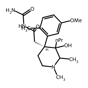 CCCC1(O)C(C)N(C)CC[C@@]1(CC(=O)NC(N)=O)c1cc(OC)ccc1C